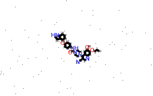 C=CCOc1cc2ncc(C#N)c(N3CCN(C(=O)Nc4ccc(Oc5cccc6[nH]ccc56)cc4)CC3)c2cc1OC